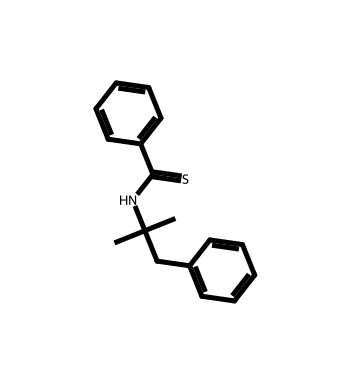 CC(C)(Cc1ccccc1)NC(=S)c1ccccc1